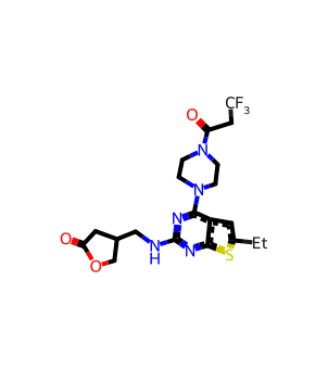 CCc1cc2c(N3CCN(C(=O)CC(F)(F)F)CC3)nc(NCC3COC(=O)C3)nc2s1